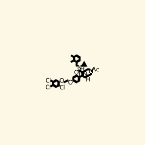 CC(=O)N1C[C@H]2CC(c3ccc(OCCOc4cc(Cl)c(Cl)cc4Cl)cc3)=C(C(=O)N(Cc3cccc(C)c3C)C3CC3)[C@@H](C1)N2